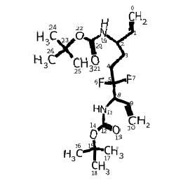 C=CC(CCC(F)(F)C(C=C)NC(=O)OC(C)(C)C)NC(=O)OC(C)(C)C